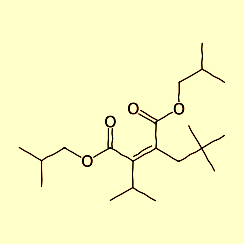 CC(C)COC(=O)/C(CC(C)(C)C)=C(\C(=O)OCC(C)C)C(C)C